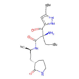 CC(C)(C)C[C@](N)(C(=O)N[C@H](C#N)C[C@@H]1CCNC1=O)C(=O)c1cc(C(C)(C)C)n[nH]1